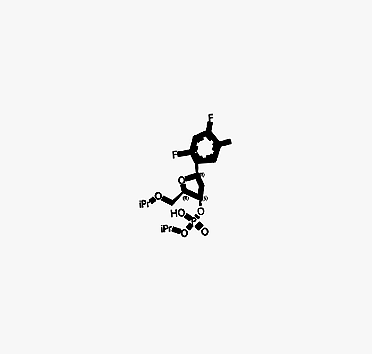 Cc1cc([C@H]2C[C@H](OP(=O)(O)OC(C)C)[C@@H](COC(C)C)O2)c(F)cc1F